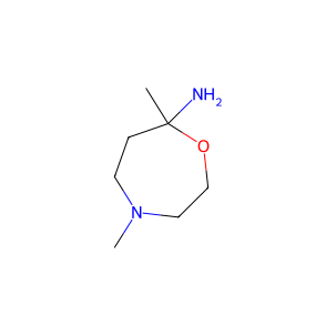 CN1CCOC(C)(N)CC1